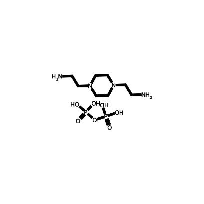 NCCN1CCN(CCN)CC1.O=P(O)(O)OP(=O)(O)O